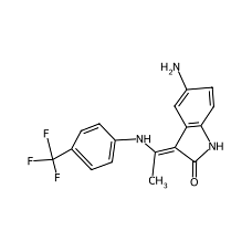 CC(Nc1ccc(C(F)(F)F)cc1)=C1C(=O)Nc2ccc(N)cc21